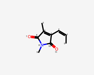 C/C=C\C1=C(C)C(=O)N(C)C1=O